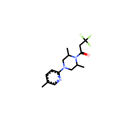 Cc1ccc(N2CC(C)N(C(=O)CC(F)(F)F)C(C)C2)nc1